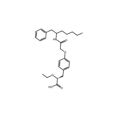 CCCCCC(Cc1ccccc1)NC(=O)COc1ccc(C[C@H](OCC)C(=O)O)cc1